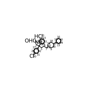 Cl.O=CNCC(CCCN1CCC(c2ccccc2)CC1)(c1ccccc1)c1ccc(Cl)cc1